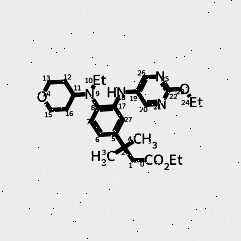 CCOC(=O)CC(C)(C)c1ccc(N(CC)C2CCOCC2)c(Nc2cnc(OCC)nc2)c1